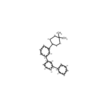 CC1(C)CCC(c2cccc(-c3ccnc(-c4ccccc4)c3)c2)CC1